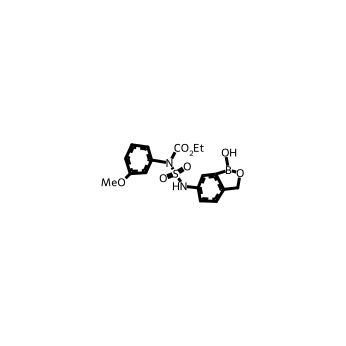 CCOC(=O)N(c1cccc(OC)c1)S(=O)(=O)Nc1ccc2c(c1)B(O)OC2